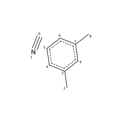 C#N.Cc1cccc(C)c1